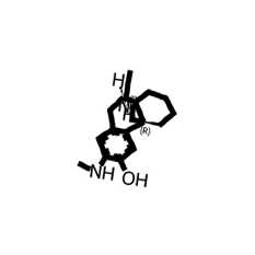 CNc1cc2c(cc1O)[C@@]13CCCC[C@H]1[C@H](C2)N(C)CC3